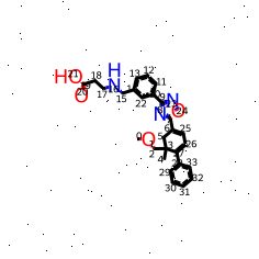 COCC1(C)CC(c2nc(-c3cccc(CNCCC(=O)O)c3)no2)=CC=C1c1ccccc1